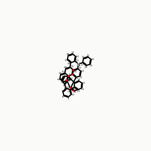 c1cc2c3c(c#1)-c1ccccc1-c1c(cccc1-2)-c1ccc(-c2ccc(N(c4ccccc4)c4ccccc4-c4ccc5ccccc5c4)cc2)cc1-3